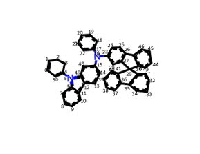 C1=CCCC(n2c3ccccc3c3ccc(N(c4ccccc4)c4ccc5c(c4)C4(c6ccccc6-c6ccccc64)c4ccccc4-5)cc32)=C1